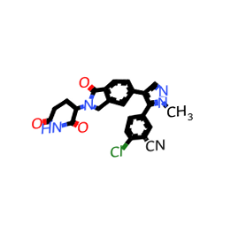 Cn1ncc(-c2ccc3c(c2)CN(C2CCC(=O)NC2=O)C3=O)c1-c1ccc(Cl)c(C#N)c1